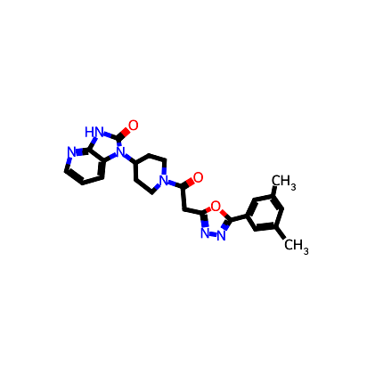 Cc1cc(C)cc(-c2nnc(CC(=O)N3CCC(n4c(=O)[nH]c5ncccc54)CC3)o2)c1